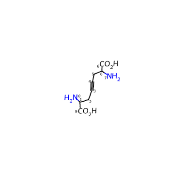 NC(CC#CCC(N)C(=O)O)C(=O)O